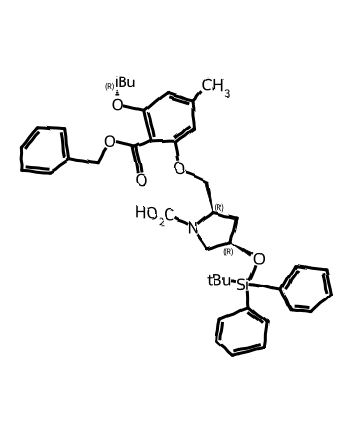 CC[C@@H](C)Oc1cc(C)cc(OC[C@H]2C[C@@H](O[Si](c3ccccc3)(c3ccccc3)C(C)(C)C)CN2C(=O)O)c1C(=O)OCc1ccccc1